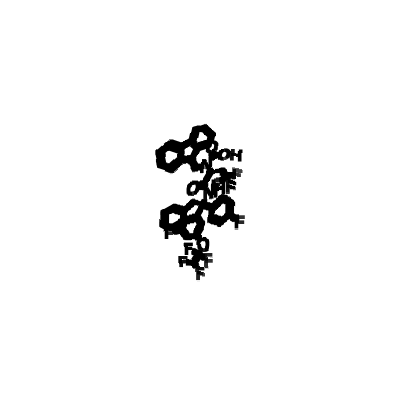 O=C(N[C@](Cc1ccccc1)(c1ccc(F)cc1)c1cc(F)cc(OC(F)(F)C(F)F)c1)[C@H](CC(F)(F)F)N(CC1c2ccccc2-c2ccccc21)C(=O)O